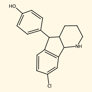 Oc1ccc(C2c3ccc(Cl)cc3C3NCCCC32)cc1